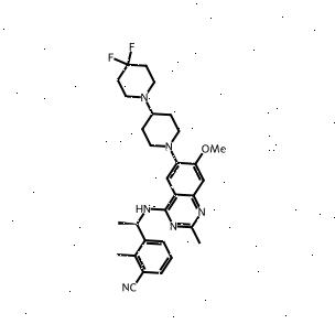 COc1cc2nc(C)nc(N[C@H](C)c3cccc(C#N)c3C)c2cc1N1CCC(N2CCC(F)(F)CC2)CC1